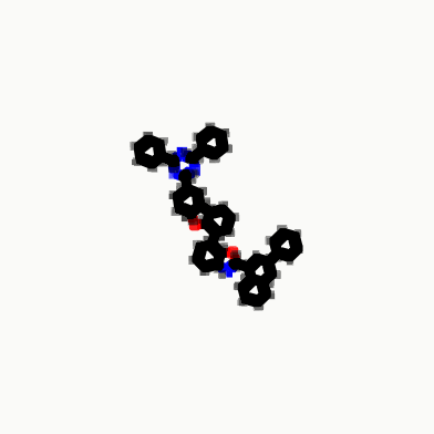 c1ccc(-c2cc(-c3nc4cccc(-c5cccc6c5oc5ccc(-c7nc(-c8ccccc8)nc(-c8ccccc8)n7)cc56)c4o3)c3ccccc3c2)cc1